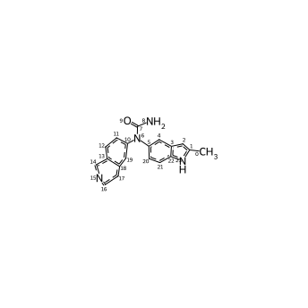 Cc1cc2cc(N(C(N)=O)c3ccc4cnccc4c3)ccc2[nH]1